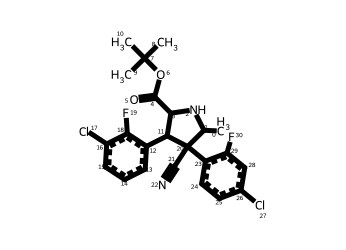 CC1NC(C(=O)OC(C)(C)C)C(c2cccc(Cl)c2F)C1(C#N)c1ccc(Cl)cc1F